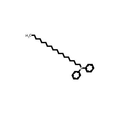 CCCCCCCCCCCCCCCCCC[Si](c1ccccc1)c1ccccc1